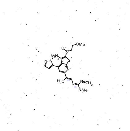 C=N/C(=N\C=C(/C)c1cc(-c2ccnn2C)c2c(N)c([S+]([O-])CCOC)sc2n1)NC